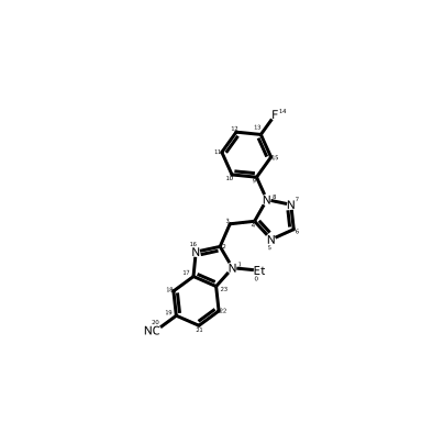 CCn1c(Cc2ncnn2-c2cccc(F)c2)nc2cc(C#N)ccc21